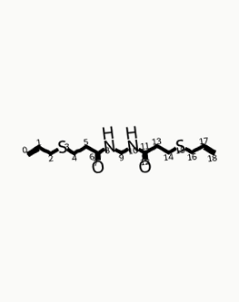 C=CCSCCC(=O)NCNC(=O)CCSCC=C